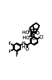 O=C(Nc1cc(F)c(F)c(F)c1)c1ccc(Cl)c(S(=O)(=O)[C@H]2C3CCC2C[C@](O)(C(=O)O)C3)c1